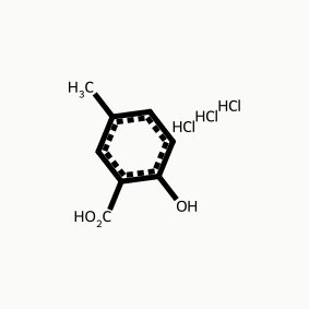 Cc1ccc(O)c(C(=O)O)c1.Cl.Cl.Cl